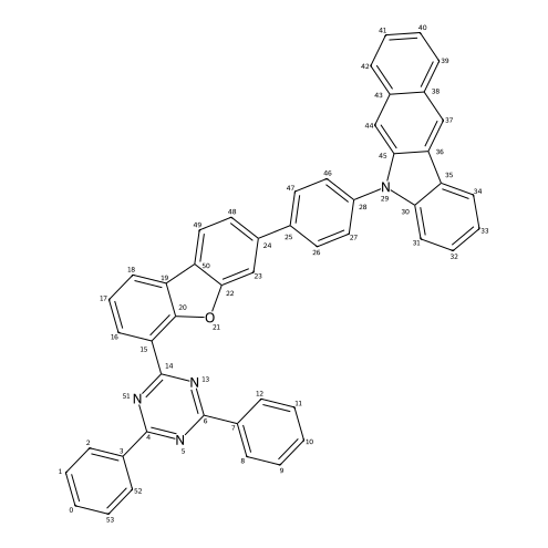 c1ccc(-c2nc(-c3ccccc3)nc(-c3cccc4c3oc3cc(-c5ccc(-n6c7ccccc7c7cc8ccccc8cc76)cc5)ccc34)n2)cc1